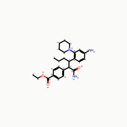 CCCC(c1ccc(N)cc1N1CCCCC1)C(C(N)=O)c1ccc(C(=O)OCC)cc1